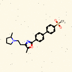 Cc1oc(-c2ccc(-c3ccc(S(=O)(=O)C(F)(F)F)cc3)cc2)nc1CCN1CCCC1C